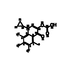 Cc1c(F)c(F)c(F)c2c1c(=O)c(OC(=O)O)cn2C1CC1